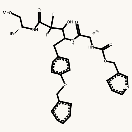 COC[C@H](NC(=O)C(F)(F)C(O)C(Cc1ccc(OCc2ccccc2)cc1)NC(=O)[C@@H](NC(=O)OCc1cccnc1)C(C)C)C(C)C